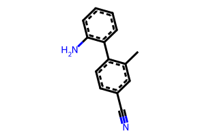 Cc1cc(C#N)ccc1-c1ccccc1N